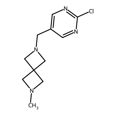 CN1CC2(C1)CN(Cc1cnc(Cl)nc1)C2